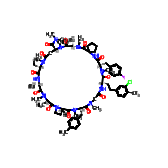 CC[C@H](C)[C@@H]1NC(=O)[C@H](CC(C)C)N(C)C(=O)C[C@@H](C(=O)N(C)C)N(C)C(=O)[C@H]([C@@H](C)CC)N(C)C(=O)C2(CCCC2)NC(=O)[C@H](Cc2ccc(I)cc2)N(C)C(=O)[C@H](CCc2ccc(C(F)(F)F)c(Cl)c2)NC(=O)CN(C)C(=O)[C@H](Cc2ccc(C)cc2)N(C)C(=O)[C@@H]2CCN2C(=O)[C@H](C)N(C)C1=O